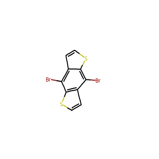 Brc1c2ccsc2c(Br)c2ccsc12